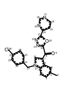 Cc1ccc2c(c1)c(C(=O)c1nnc(-c3ccncn3)o1)cn2Cc1ccc(Cl)cc1